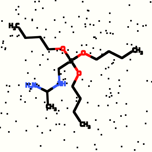 CCCCO[Si](CNC(C)N)(OCCCC)OCCCC